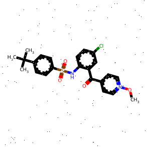 CO[n+]1ccc(C(=O)c2cc(Cl)ccc2NS(=O)(=O)c2ccc(C(C)(C)C)cc2)cc1